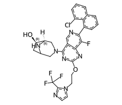 O[C@@H]1CC2CN(c3nc(OCCn4ccnc4C(F)(F)F)nc4c(F)c(-c5cccc6cccc(Cl)c56)ncc34)C[C@H]1N2